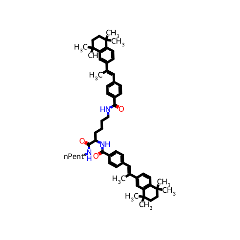 CCCCCNC(=O)C(CCCCNC(=O)c1ccc(/C=C(\C)c2ccc3c(c2)C(C)(C)CCC3(C)C)cc1)NC(=O)c1ccc(/C=C(\C)c2ccc3c(c2)C(C)(C)CCC3(C)C)cc1